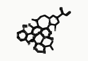 C=CC(=O)N1CC(C)N2c3nc(=O)n(-c4c(C(C)C)ncnc4C(C)C)c4c(Cl)c(-c5c(O)cccc5F)c(F)c(c34)N(C)CCC2C1